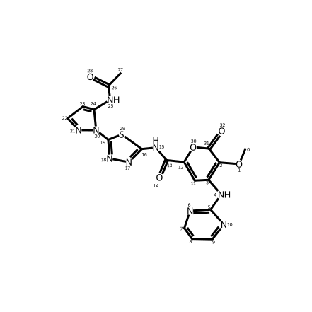 COc1c(Nc2ncccn2)cc(C(=O)Nc2nnc(-n3nccc3NC(C)=O)s2)oc1=O